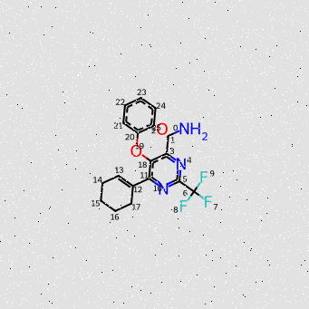 NC(=O)c1nc(C(F)(F)F)nc(C2=CCCCC2)c1Oc1ccccc1